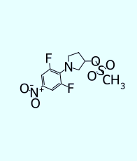 CS(=O)(=O)OC1CCN(c2c(F)cc([N+](=O)[O-])cc2F)C1